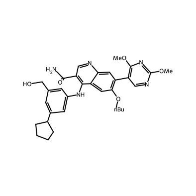 CCCCOc1cc2c(Nc3cc(CO)cc(C4CCCC4)c3)c(C(N)=O)cnc2cc1-c1cnc(OC)nc1OC